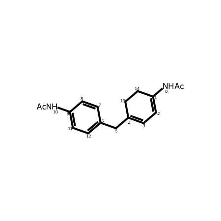 CC(=O)NC1=CC=C(Cc2ccc(NC(C)=O)cc2)CC1